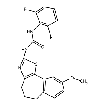 COc1ccc2c(c1)-c1sc(NC(=O)Nc3c(F)cccc3F)nc1CCC2